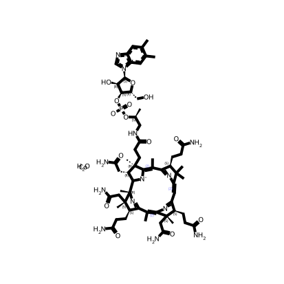 C/C1=C2/[N-]C([C@H](CC(N)=O)[C@@]2(C)CCC(=O)NC[C@H](C)OP(=O)([O-])O[C@H]2[C@@H](O)[C@@H](n3cnc4cc(C)c(C)cc43)O[C@@H]2CO)[C@]2(C)N=C(/C(C)=C3N=C(/C=C4N=C1[C@@H](CCC(N)=O)C\4(C)C)[C@@H](CCC(N)=O)[C@]\3(C)CC(N)=O)[C@@H](CCC(N)=O)[C@]2(C)CC(N)=O.O.[Co]